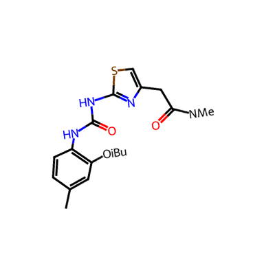 CNC(=O)Cc1csc(NC(=O)Nc2ccc(C)cc2OCC(C)C)n1